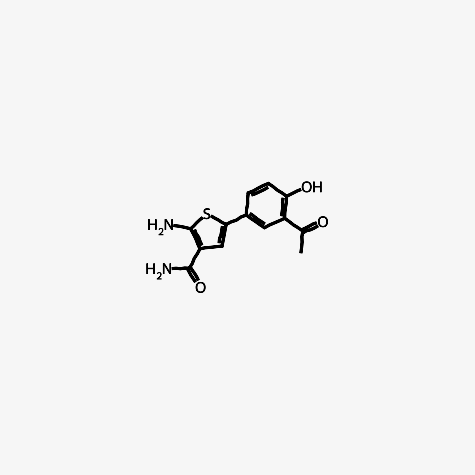 CC(=O)c1cc(-c2cc(C(N)=O)c(N)s2)ccc1O